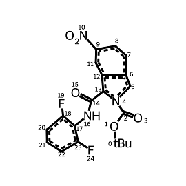 CC(C)(C)OC(=O)n1cc2ccc([N+](=O)[O-])cc2c1C(=O)Nc1c(F)cccc1F